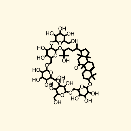 CC(CCC(OC1OC(COC2OC(CO)C(O)C(O)C2O)C(O)C(O)C1OC1OC(CO)C(O)C(O)C1O)C(C)(C)O)C1CCC2(C)C3CC=C4C(CCC(OC5OC(COC6OC(CO)C(O)C(O)C6O)C(O)C(O)C5O)C4(C)C)C3(C)C(=O)CC12C